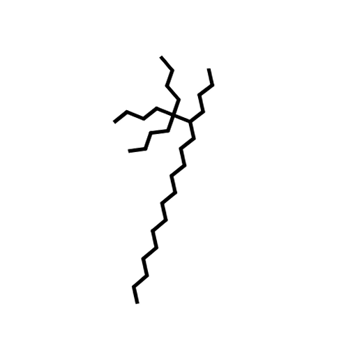 CCCCCCCCCCCCCC(CCCC)C(CCCC)(CCCC)CCCC